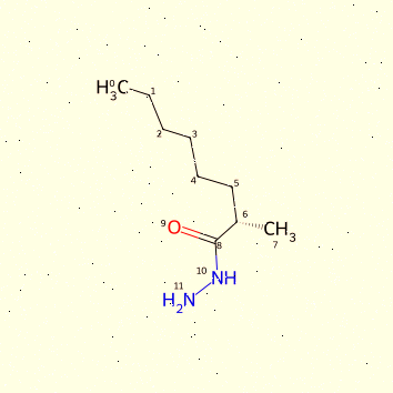 CCCCCC[C@H](C)C(=O)NN